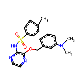 Cc1ccc(S(=O)(=O)Nc2nccnc2OCc2cccc(N(C)C)c2)cc1